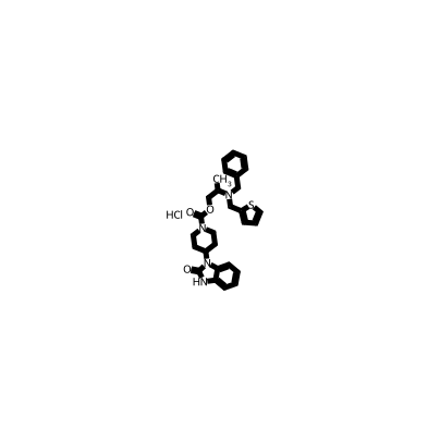 CC(COC(=O)N1CCC(n2c(=O)[nH]c3ccccc32)CC1)N(Cc1ccccc1)Cc1cccs1.Cl